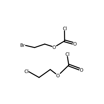 O=C(Cl)OCCBr.O=C(Cl)OCCCl